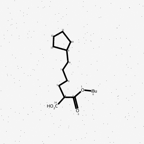 CCC(C)OC(=O)C(CCCCC1CCCC1)C(=O)O